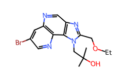 CCOCc1nc2cnc3cc(Br)cnc3c2n1CC(C)(C)O